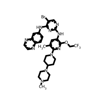 Cc1cc(Nc2ncc(Br)c(Nc3[c]c4nccnc4cc3)n2)c(OCC(F)(F)F)nc1N1CCC(N2CCN(C)CC2)CC1